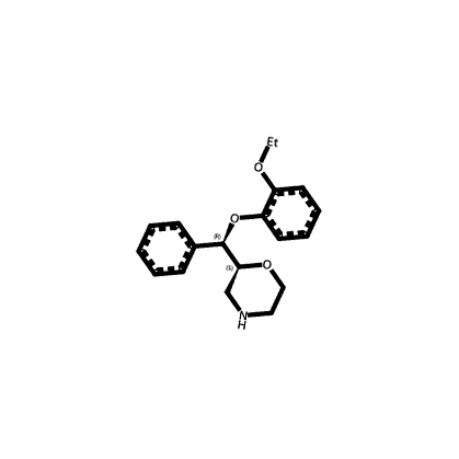 CCOc1ccccc1O[C@H](c1ccccc1)[C@@H]1CNCCO1